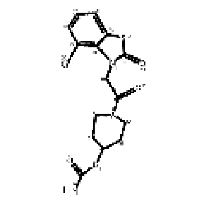 NC(=O)OC1CCN(C(=O)Cn2c(=O)sc3cccc(Cl)c32)CC1